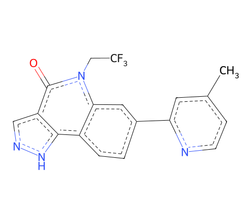 Cc1ccnc(-c2ccc3c4[nH]ncc4c(=O)n(CC(F)(F)F)c3c2)c1